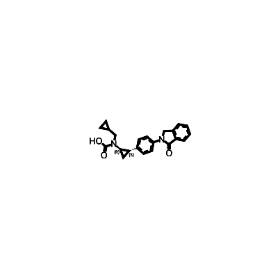 O=C1c2ccccc2CN1c1ccc([C@@H]2C[C@H]2N(CC2CC2)C(=O)O)cc1